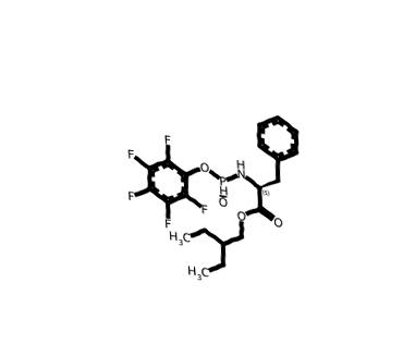 CCC(CC)COC(=O)[C@H](Cc1ccccc1)N[PH](=O)Oc1c(F)c(F)c(F)c(F)c1F